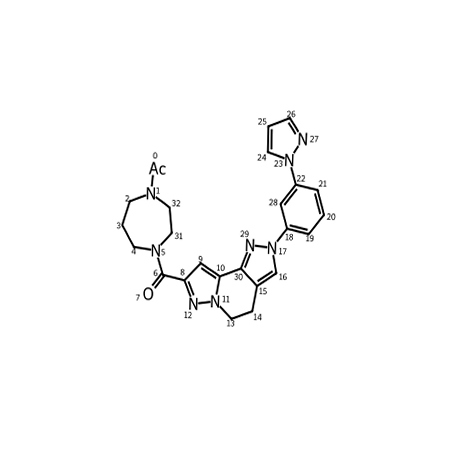 CC(=O)N1CCCN(C(=O)c2cc3n(n2)CCc2cn(-c4cccc(-n5cccn5)c4)nc2-3)CC1